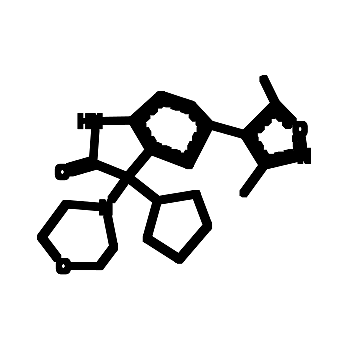 Cc1noc(C)c1-c1ccc2c(c1)C(C1CCCC1)(N1CCOCC1)C(=O)N2